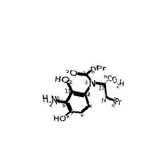 CCCC(=O)N(c1ccc(O)c(N)c1O)[C@@H](CC(C)C)C(=O)O